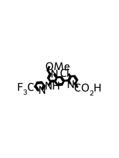 COCc1cc(Nc2ccc(C(F)(F)F)cn2)c2ccc(-c3nc(C(=O)O)ccc3Cl)cc2n1